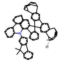 CC1(C)c2ccccc2-c2ccc(N(c3ccccc3-c3ccccc3)c3cccc4c3-c3ccccc3C43c4cc5c(cc4-c4cc6c(cc43)C3C4C=CC6C=C[C@@H]43)C3C=CC4C(C=C3)C54)cc21